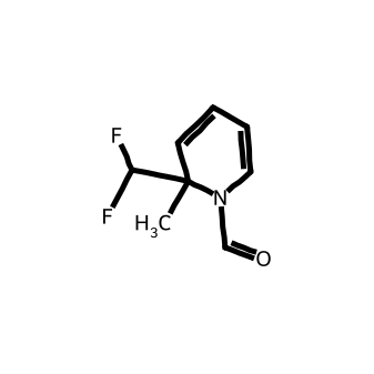 CC1(C(F)F)C=CC=CN1C=O